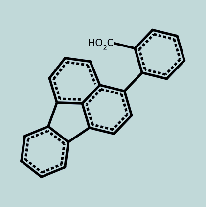 O=C(O)c1ccccc1-c1ccc2c3c(cccc13)-c1ccccc1-2